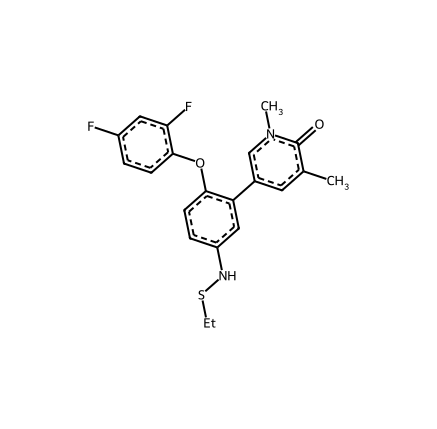 CCSNc1ccc(Oc2ccc(F)cc2F)c(-c2cc(C)c(=O)n(C)c2)c1